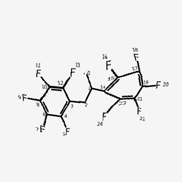 [CH2]C(Cc1c(F)c(F)c(F)c(F)c1F)c1c(F)c(F)c(F)c(F)c1F